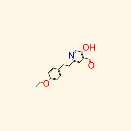 CCOc1ccc(CCc2cc(C=O)c(O)cn2)cc1